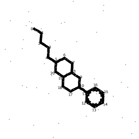 CCCCCC1CCC2CC(c3ccccc3)CCC2C1